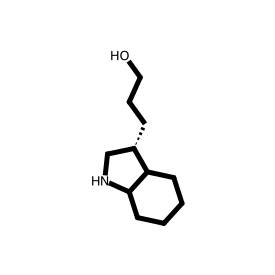 OCCC[C@H]1CNC2CCCCC21